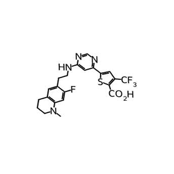 CN1CCCc2cc(CCNc3cc(-c4cc(C(F)(F)F)c(C(=O)O)s4)ncn3)c(F)cc21